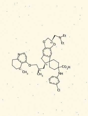 CCN(CC)C[C@@H]1COc2cc3c(cc2O1)C1(CCC(Nc2cccc(Cl)c2)(C(=O)O)CC1)[C@@H](C[C@@H](C)COc1ccnc2c1[C@H](C)CCC2)C3